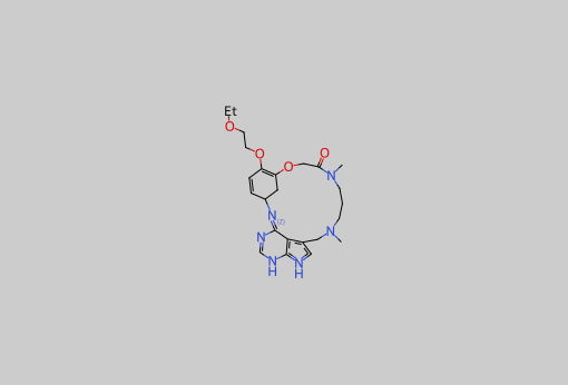 CCOCCOC1=C2CC(C=C1)/N=C1\N=CNc3[nH]cc(c31)CN(C)CCCN(C)C(=O)CO2